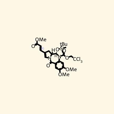 COC(=O)/C=C/C1=CN2C(=O)c3cc(OC)c(OC)cc3N(C(=O)OCC(Cl)(Cl)Cl)[C@@H](O[Si](C)(C)C(C)(C)C)[C@H]2C1